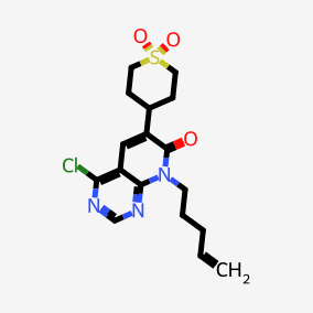 C=CCCCn1c(=O)c(C2CCS(=O)(=O)CC2)cc2c(Cl)ncnc21